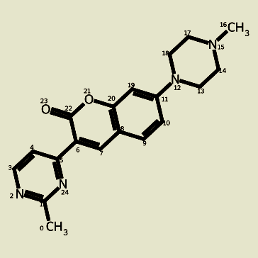 Cc1nccc(-c2cc3ccc(N4CCN(C)CC4)cc3oc2=O)n1